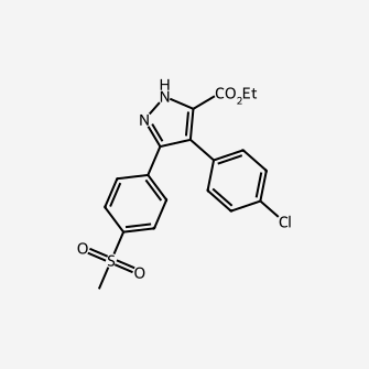 CCOC(=O)c1[nH]nc(-c2ccc(S(C)(=O)=O)cc2)c1-c1ccc(Cl)cc1